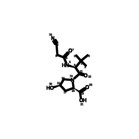 CC(C)(C)[C@H](NC(=O)CC#N)C(=O)N1C[C@H](O)C[C@H]1C(=O)O